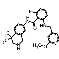 COc1cc(CNc2cccc(F)c2C(=O)Nc2ccc3c(c2)CNCC3(C)C)ccn1